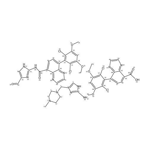 CN1CCN(Cc2c[nH]c(N)n2)CC1.COc1cc(OC)c(Cl)c(-c2ccc(C(=O)Nc3nc(C=O)c[nH]3)c3nccnc23)c1Cl.COc1cc(OC)c(Cl)c(-c2ccc(C(=O)O)c3nccnc23)c1Cl